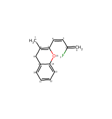 C=C(F)/C=C\C1=C(C)Cc2ccccc2O1